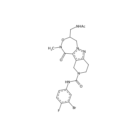 CC(=O)NCC1Cn2nc3c(c2C(=O)N(C)O1)CN(C(=O)Nc1ccc(F)c(Br)c1)CC3